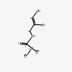 CC(C)N(C(=S)OCC(Cl)=CCl)C(C)C